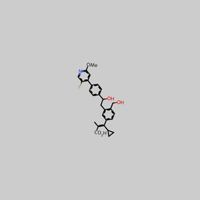 COc1cc(-c2ccc(C(O)Cc3cc(C(=C(C)C(=O)O)C4CC4)ccc3CO)cc2)c(F)cn1